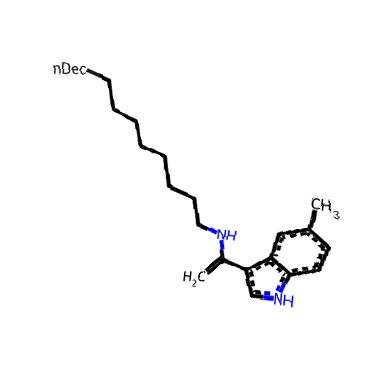 C=C(NCCCCCCCCCCCCCCCCCC)c1c[nH]c2ccc(C)cc12